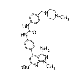 CN1CCN(Cc2ccc(NC(=O)Nc3ccc(-c4cc(C(C)(C)C)nc5c4c(N)nn5C)cc3)cc2)CC1